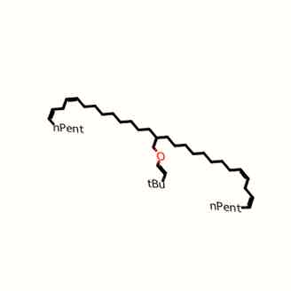 CCCCC/C=C\C/C=C\CCCCCCCCC(CCCCCCCC/C=C\C/C=C\CCCCC)CO/C=C/C(C)(C)C